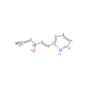 C=CC(=O)C=Cc1ccccn1